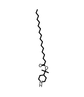 CCCCCCCCCCCCCCCCCC(=O)OC(C)(C)C1CCNCC1